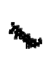 C/N=C\c1ccc(Nc2nccc(Oc3c(C)cc(/C=C(/F)C#N)cc3C)n2)cc1